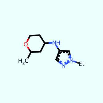 CCn1cc(NC2CCOC(C)C2)cn1